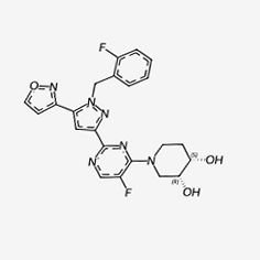 O[C@@H]1CN(c2nc(-c3cc(-c4ccon4)n(Cc4ccccc4F)n3)ncc2F)CC[C@@H]1O